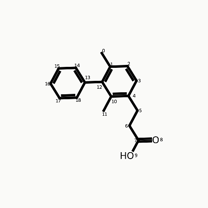 Cc1ccc(CCC(=O)O)c(C)c1-c1ccccc1